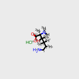 Cl.[2H]C(CN)C([2H])([2H])C([2H])([2H])[C@@]([2H])(C(=O)O)N([2H])[2H]